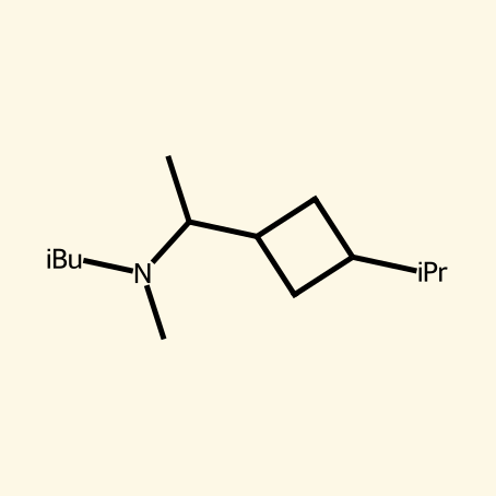 CCC(C)N(C)C(C)C1CC(C(C)C)C1